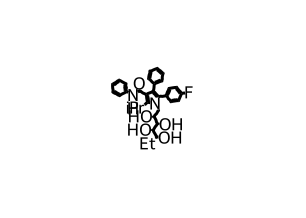 CC[C@H](O)[C@@H](O)[C@H](O)[C@@H](O)Cn1c(-c2ccc(F)cc2)c(-c2ccccc2)c(C(=O)Nc2ccccc2)c1C(C)C